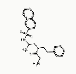 CC(CN(CCc1ccccc1)C(=O)CN)NS(=O)(=O)c1ccc2cnccc2c1